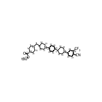 CC(C)(C)OC(=O)N1CCN(CC2CCN(c3ccc(C4CCN(c5ccc(C#N)c(C(F)(F)F)c5)CC4)cc3)CC2)CC1